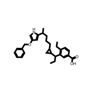 CCc1ccc(C(=O)O)cc1C(CC)C1CC1CCCC(C)c1cc(OCc2ccccc2)c[nH]1